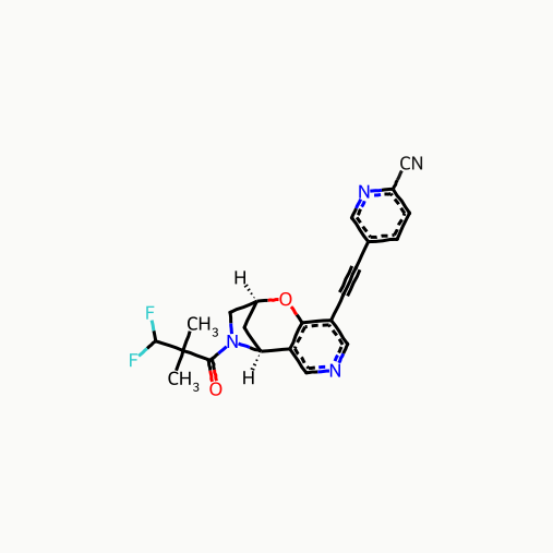 CC(C)(C(=O)N1C[C@@H]2C[C@H]1c1cncc(C#Cc3ccc(C#N)nc3)c1O2)C(F)F